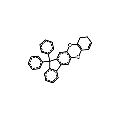 C1=CC2=C(CC1)Oc1cc3c(cc1O2)-c1ccccc1C3(c1ccccc1)c1ccccc1